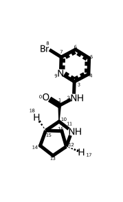 O=C(Nc1cccc(Br)n1)[C@H]1N[C@H]2CC[C@@H]1C2